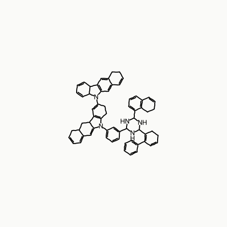 C1=CCC2CC3C(=CC2=C1)N(c1cccc(C2NC(C4=C(c5ccccc5)C=CCC4)NC(c4cccc5c4CCC=C5)N2)c1)C1=C3C=C(N2c3cc4c(cc3C3C=CC=CC32)CCC=C4)CC1